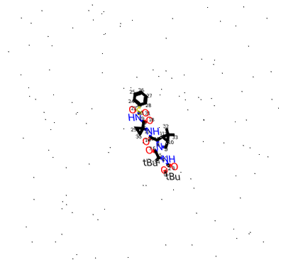 CC(C)(C)OC(=O)NC(C(=O)N1CC2C(C1C(=O)NC1(C(=O)NS(=O)(=O)c3ccccc3)CC1)C2(C)C)C(C)(C)C